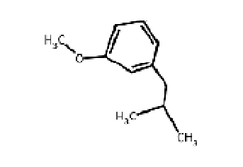 COc1c[c]cc(CC(C)C)c1